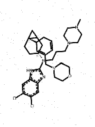 CN1CCN(CCCN(c2nc3cc(Cl)c(Cl)cc3[nH]2)[C@@H]2CC[C@]3(C4C=C(CN5CCOCC5)C=CC4)CC3C2)CC1